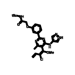 C=C/C(Cl)=C(/OC)c1c(C)nc(-c2cccc(OCC(=O)NC(C)(C)C)c2)nc1Nc1cn[nH]c1